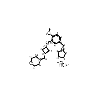 COc1ccc(CN2CCCC2)cc1O[C@H]1C[C@H](CN2CCOCC2)C1.Cl.Cl